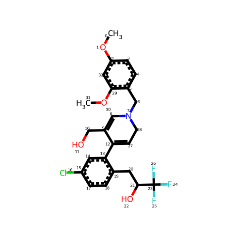 COc1ccc(CN2C=C(CO)C(c3cc(Cl)ccc3CC(O)C(F)(F)F)=CC2)c(OC)c1